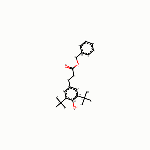 CC(C)(C)c1cc(CCC(=O)OCc2ccccc2)cc(C(C)(C)C)c1O